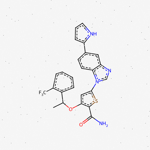 CC(Oc1cc(-n2cnc3cc(-c4ccc[nH]4)ccc32)sc1C(N)=O)c1ccccc1C(F)(F)F